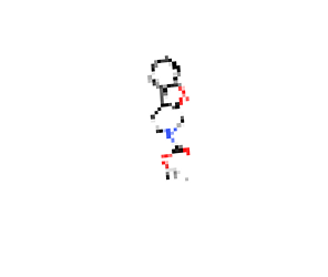 COC(=O)N1CCc2c(oc3ccccc23)C1